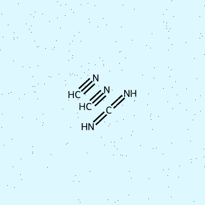 C#N.C#N.N=C=N